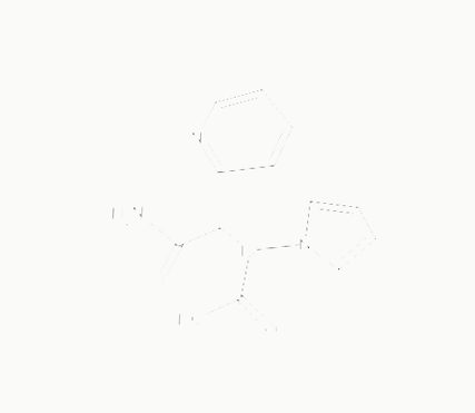 CC(=O)[SH](CC(N)=O)n1cccc1.c1ccncc1